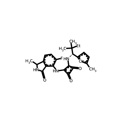 CCC(C)(C)[C@@H](Nc1c(Nc2c(F)ccc3c2C(=O)NC3C)c(=O)c1=O)c1ccc(C)o1